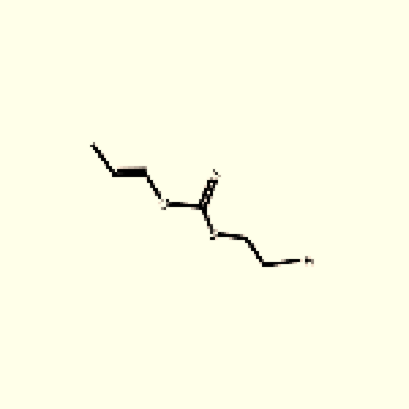 CC=COC(=S)SCCC(C)C